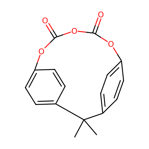 CC1(C)c2ccc(cc2)OC(=O)OC(=O)Oc2ccc1cc2